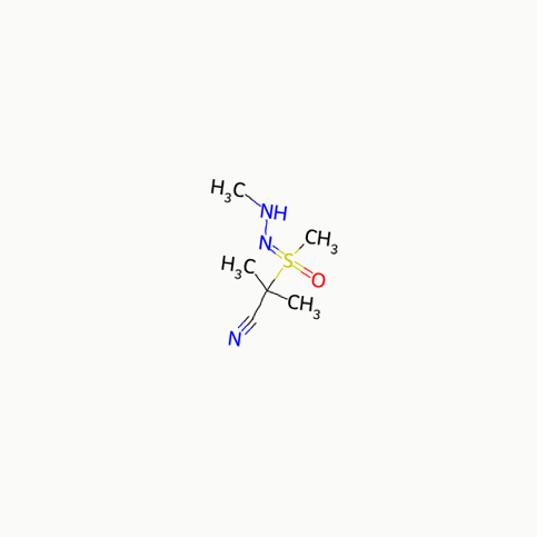 CNN=S(C)(=O)C(C)(C)C#N